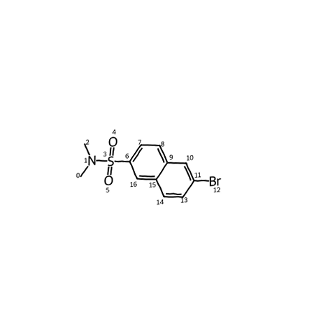 CN(C)S(=O)(=O)c1ccc2cc(Br)ccc2c1